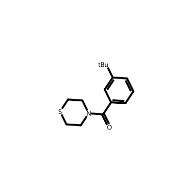 CC(C)(C)c1cccc(C(=O)N2CCSCC2)c1